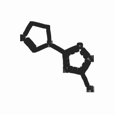 CCc1noc(N2C=NCC2)n1